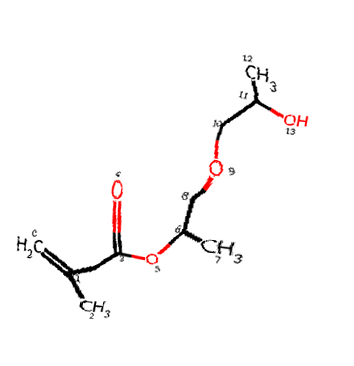 C=C(C)C(=O)OC(C)COCC(C)O